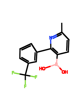 Cc1ccc(B(O)O)c(-c2cccc(C(F)(F)F)c2)n1